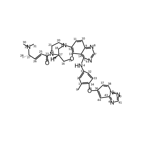 Cc1cc(Nc2ncnc3ccc4c(c23)OC[C@H]2CN4CCN2C(=O)/C=C/[C@H](C)N(C)C)ccc1Oc1ccn2ncnc2c1